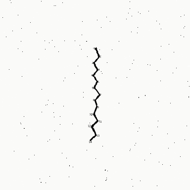 [CH2]CCCCCCCCCCCCCC